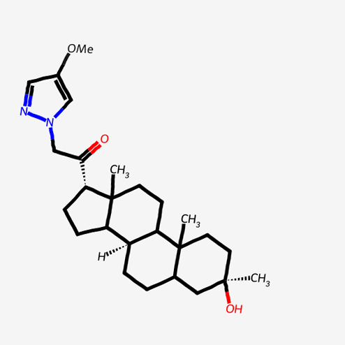 COc1cnn(CC(=O)[C@H]2CCC3[C@@H]4CCC5C[C@](C)(O)CCC5(C)C4CCC32C)c1